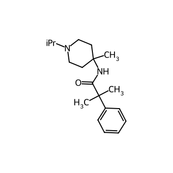 CC(C)N1CCC(C)(NC(=O)C(C)(C)c2ccccc2)CC1